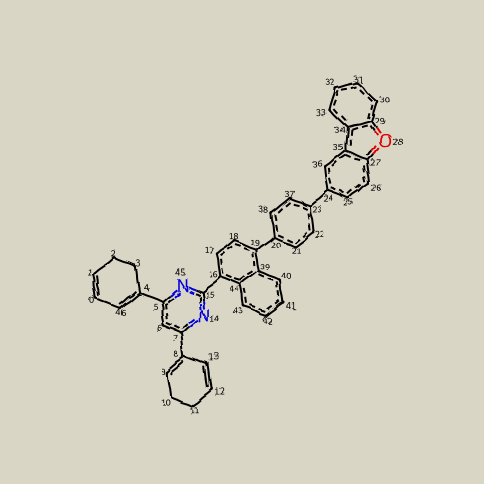 C1=CCCC(c2cc(C3=CCCC=C3)nc(-c3ccc(-c4ccc(-c5ccc6oc7ccccc7c6c5)cc4)c4ccccc34)n2)=C1